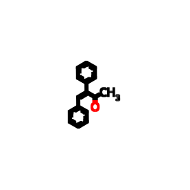 CC(=O)C(=Cc1ccccc1)c1ccccc1